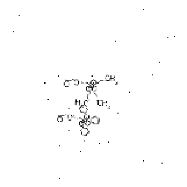 CCCCO[Si](CCCOCC1CO1)(OCCCC)OCCCC.c1ccc(O[Si](CCCOCC2CO2)(Oc2ccccc2)Oc2ccccc2)cc1